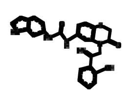 N=C(CN1C(=O)CSc2ccc(NC(=O)Nc3ccc4cc[nH]c4c3)cc21)c1ccccc1O